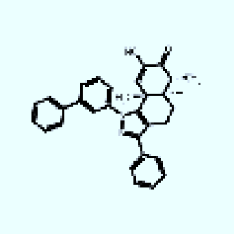 C[C@H]1C(=O)C(C#N)=C[C@@]2(C)c3c(c(-c4ccccc4)nn3-c3cccc(-c4ccccc4)c3)CC[C@H]12